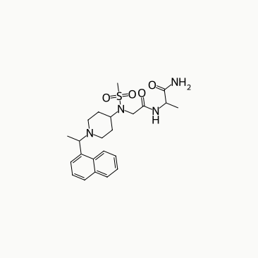 CC(NC(=O)CN(C1CCN(C(C)c2cccc3ccccc23)CC1)S(C)(=O)=O)C(N)=O